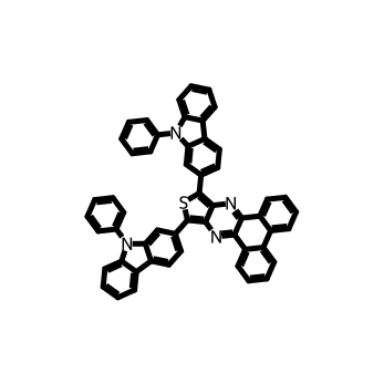 c1ccc(-n2c3ccccc3c3ccc(-c4sc(-c5ccc6c7ccccc7n(-c7ccccc7)c6c5)c5nc6c7ccccc7c7ccccc7c6nc45)cc32)cc1